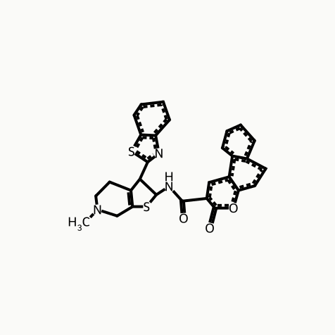 CN1CCC2=C(C1)SC(NC(=O)c1cc3c(ccc4ccccc43)oc1=O)C2c1nc2ccccc2s1